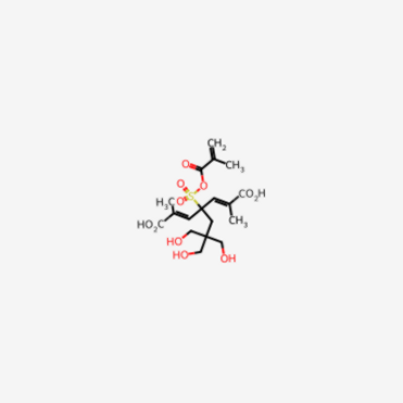 C=C(C)C(=O)OS(=O)(=O)C(C=C(C)C(=O)O)(C=C(C)C(=O)O)CC(CO)(CO)CO